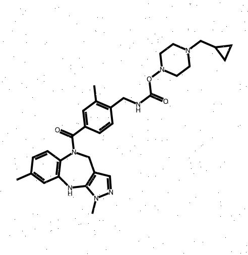 Cc1ccc2c(c1)Nc1c(cnn1C)CN2C(=O)c1ccc(CNC(=O)ON2CCN(CC3CC3)CC2)c(C)c1